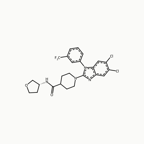 O=C(N[C@@H]1CCOC1)C1CCN(c2nc3cc(Cl)c(Cl)cc3n2-c2cccc(C(F)(F)F)c2)CC1